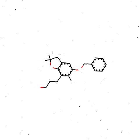 CCCc1c(OCc2ccccc2)cc2c(c1CCCO)OC(C)(C)C2